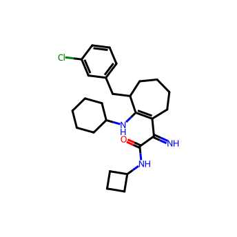 N=C(C(=O)NC1CCC1)C1=C(NC2CCCCC2)C(Cc2cccc(Cl)c2)CCCC1